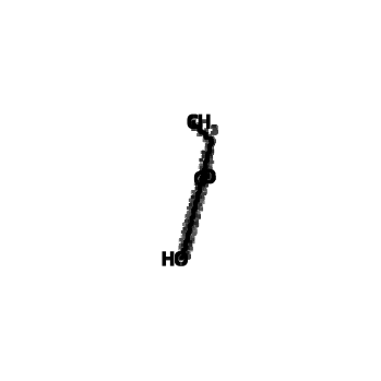 CCCCCC/C=C\CCCCCCCC(=O)OCCCCCCCCCCCCCCCCCCCO